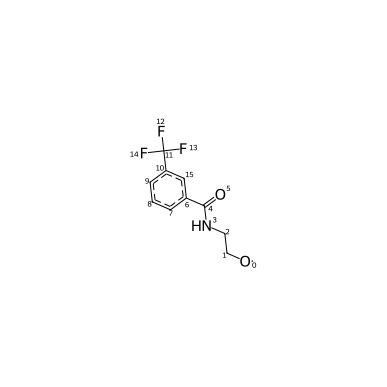 [O]CCNC(=O)c1cccc(C(F)(F)F)c1